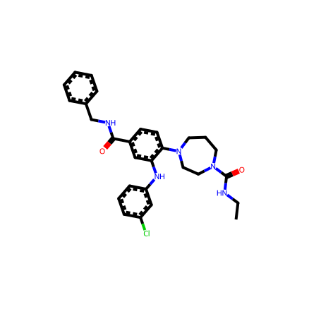 CCNC(=O)N1CCCN(c2ccc(C(=O)NCc3ccccc3)cc2Nc2cccc(Cl)c2)CC1